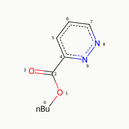 CCCCOC(=O)c1cccnn1